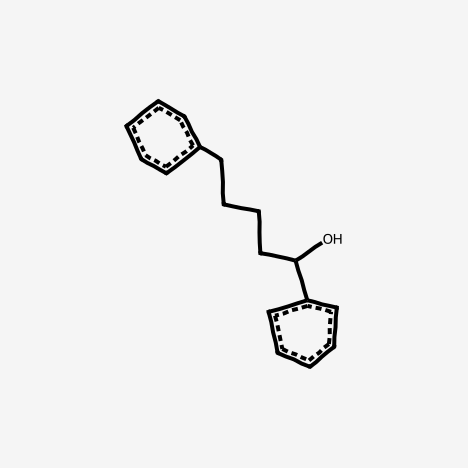 OC(CCCCc1ccccc1)c1ccccc1